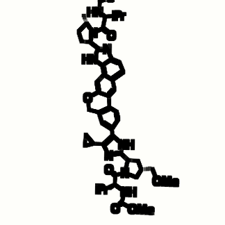 COC[C@H]1CC(c2nc(C3CC3)c(-c3ccc4c(c3)COc3cc5c(ccc6nc(C7CC[C@H](C)N7C(=O)C(NC(=O)OC)C(C)C)[nH]c65)cc3-4)[nH]2)N(C(=O)[C@@H](NC(=O)OC)C(C)C)C1